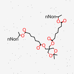 CCCCCCCCCC(C)OC(=O)CCCCCC(=O)OCC1(COC(=O)CCCCCC(=O)OC(C)CCCCCCCCC)COC(C)(C)OC1